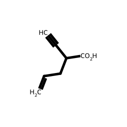 C#CC(CC=C)C(=O)O